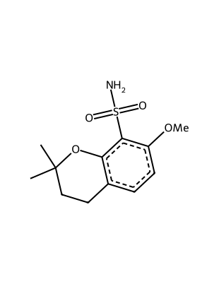 COc1ccc2c(c1S(N)(=O)=O)OC(C)(C)CC2